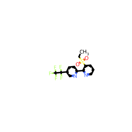 CCS(=O)(=O)c1cccnc1-c1ccc(C(F)(F)C(F)(F)F)cn1